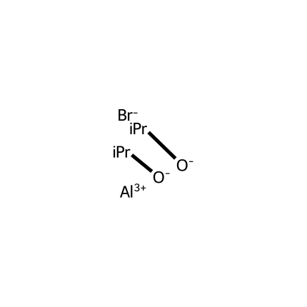 CC(C)[O-].CC(C)[O-].[Al+3].[Br-]